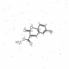 COC(=O)c1cc2cc(Br)ccc2oc1=O